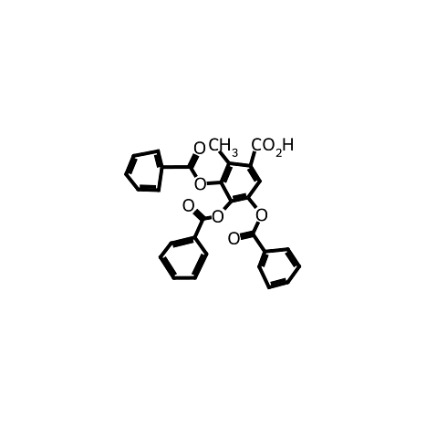 Cc1c(C(=O)O)cc(OC(=O)c2ccccc2)c(OC(=O)c2ccccc2)c1OC(=O)c1ccccc1